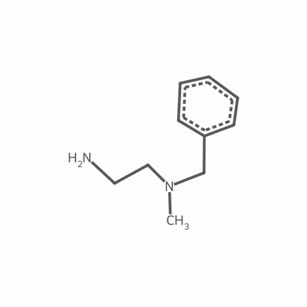 CN(CCN)Cc1ccccc1